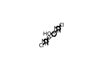 O[C@H]1CN(c2ncc(Cl)cn2)CC[C@@H]1COc1cnc(Cl)nc1